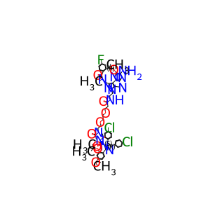 COc1ccc(C2=N[C@H](c3ccc(Cl)cc3)[C@H](c3ccc(Cl)cc3)N2C(=O)N2CCN(CCOCCOCCC(=O)NCCn3nc4c(c3C#N)-c3cnc(N)c(n3)O[C@H](C)c3cc(F)ccc3C(=O)N(C)C4)C(=O)C2)c(OC(C)C)c1